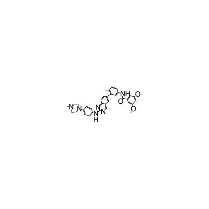 COc1cc(OC)cc(C(=O)Nc2ccc(C)c(-c3ccc4nc(Nc5ccc(N6CCN(C)CC6)cc5)ncc4c3)c2)c1